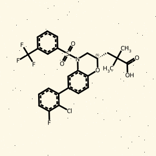 CC(C)(C[C@H]1CN(S(=O)(=O)c2cccc(C(F)(F)F)c2)c2cc(-c3cccc(F)c3Cl)ccc2O1)C(=O)O